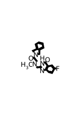 CN(CC(=O)N1Cc2ccccc2C1)Cc1nc2ccc(F)cc2c(=O)[nH]1